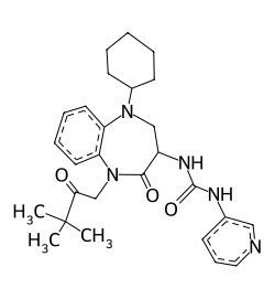 CC(C)(C)C(=O)CN1C(=O)C(NC(=O)Nc2cccnc2)CN(C2CCCCC2)c2ccccc21